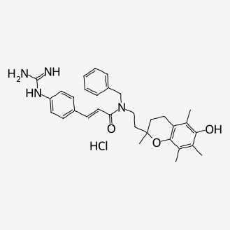 Cc1c(C)c2c(c(C)c1O)CCC(C)(CCN(Cc1ccccc1)C(=O)/C=C/c1ccc(NC(=N)N)cc1)O2.Cl